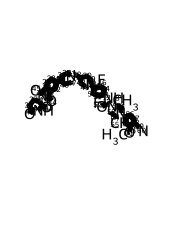 COc1cc(N2C[C@@H](C)N(C(=O)Nc3cc(F)c(N4CCC(CN5CCN(c6ccc7c(c6)C(=O)N(C6CCC(=O)NC6=O)C7=O)CC5)CC4)cc3F)C[C@@H]2C)ccc1C#N